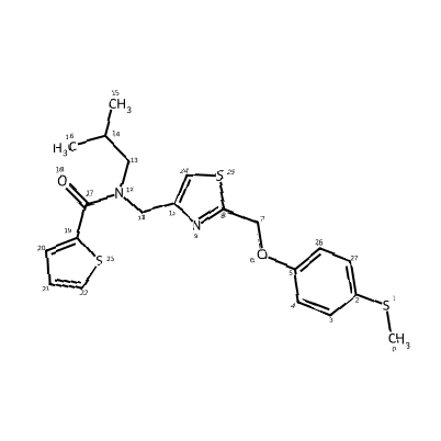 CSc1ccc(OCc2nc(CN(CC(C)C)C(=O)c3cccs3)cs2)cc1